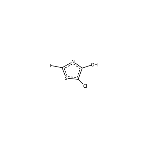 Oc1nc(I)sc1Cl